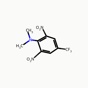 CN(C)c1c([N+](=O)[O-])cc(C(F)(F)F)cc1[N+](=O)[O-]